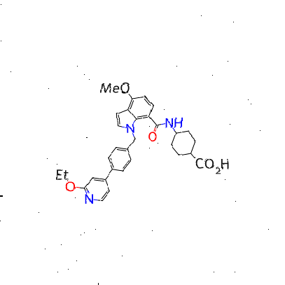 CCOc1cc(-c2ccc(Cn3ccc4c(OC)ccc(C(=O)NC5CCC(C(=O)O)CC5)c43)cc2)ccn1